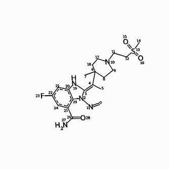 C=NN1/C(=C(\C)C2(C)CCN(CCS(C)(=O)=O)CC2)Nc2cc(F)cc(C(N)=O)c21